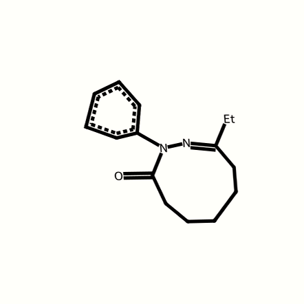 CC/C1=N/N(c2ccccc2)C(=O)CCCCC1